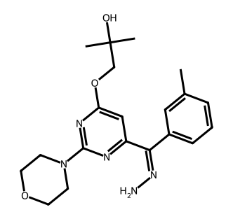 Cc1cccc(C(=NN)c2cc(OCC(C)(C)O)nc(N3CCOCC3)n2)c1